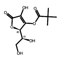 CC(C)(C)C(=O)OC1=C(O)C(=O)O[C@@H]1[C@@H](O)CO